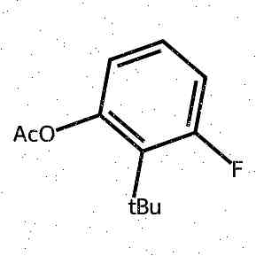 CC(=O)Oc1cccc(F)c1C(C)(C)C